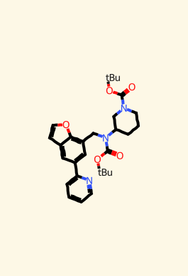 CC(C)(C)OC(=O)N1CCCC(N(Cc2cc(-c3ccccn3)cc3ccoc23)C(=O)OC(C)(C)C)C1